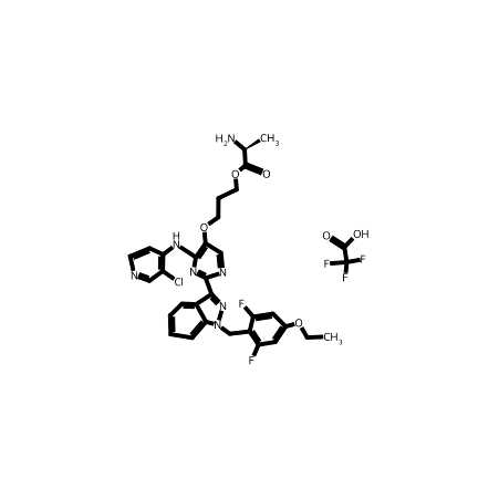 CCOc1cc(F)c(Cn2nc(-c3ncc(OCCCOC(=O)[C@H](C)N)c(Nc4ccncc4Cl)n3)c3ccccc32)c(F)c1.O=C(O)C(F)(F)F